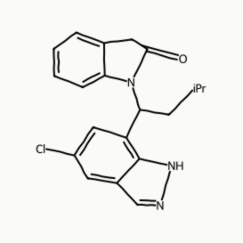 CC(C)CC(c1cc(Cl)cc2cn[nH]c12)N1C(=O)Cc2ccccc21